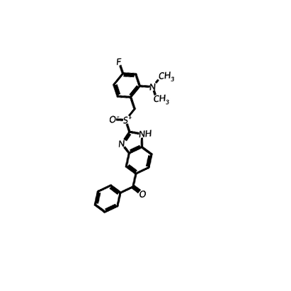 CN(C)c1cc(F)ccc1C[S+]([O-])c1nc2cc(C(=O)c3ccccc3)ccc2[nH]1